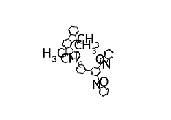 CC1(C)c2cc(-c3cccc(-c4cc(-c5nc6ccccc6o5)cc(-c5nc6ccccc6o5)c4)c3)ccc2-c2c1ccc1c2C(C)(C)c2ccccc2-1